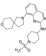 CS(=O)(=O)N1CCC(Nc2ncc3cccc(N4CCC5(CCOCC5)C4)c3n2)CC1